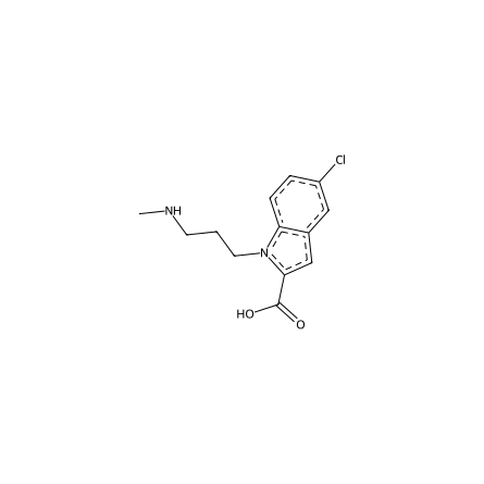 CNCCCn1c(C(=O)O)cc2cc(Cl)ccc21